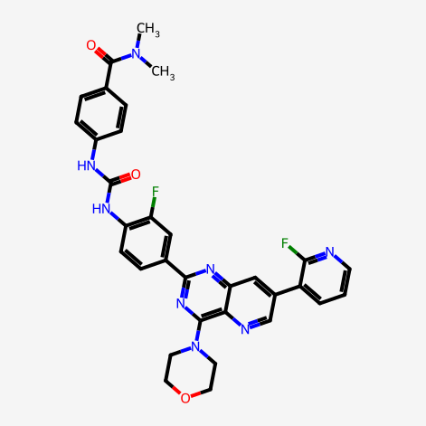 CN(C)C(=O)c1ccc(NC(=O)Nc2ccc(-c3nc(N4CCOCC4)c4ncc(-c5cccnc5F)cc4n3)cc2F)cc1